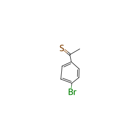 CC(=S)c1ccc(Br)cc1